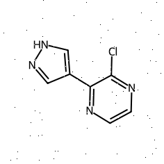 Clc1nccnc1-c1cn[nH]c1